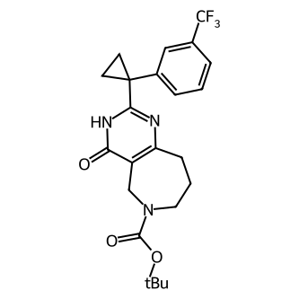 CC(C)(C)OC(=O)N1CCCc2nc(C3(c4cccc(C(F)(F)F)c4)CC3)[nH]c(=O)c2C1